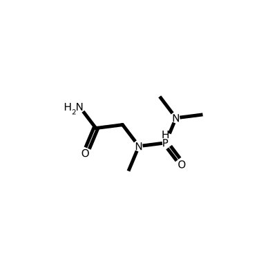 CN(C)[PH](=O)N(C)CC(N)=O